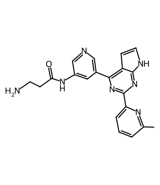 Cc1cccc(-c2nc(-c3cncc(NC(=O)CCN)c3)c3cc[nH]c3n2)n1